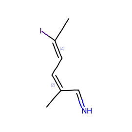 C/C(I)=C/C=C(/C)C=N